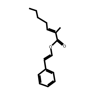 CCCCC=C(C)C(=O)OC=Cc1ccccc1